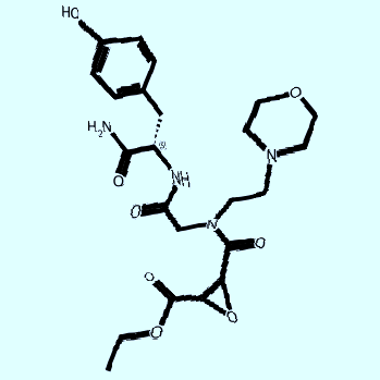 CCOC(=O)C1OC1C(=O)N(CCN1CCOCC1)CC(=O)N[C@@H](Cc1ccc(O)cc1)C(N)=O